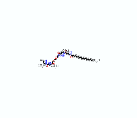 CC(=O)CC[C@H](NC(=O)CCC(NC(=O)COCCOCCNC(=O)CCC(NC(=O)CCCNC(=O)CCCCCCCCCCCCCCCCC(=O)O)C(=O)O)C(=O)O)C(=O)O